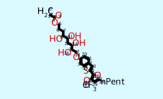 C=CC(=O)OCCCC(O)C(O)CC(O)C(O)COc1ccc2cc(-c3oc(CCCCC)cc3OC(F)(F)F)sc2c1